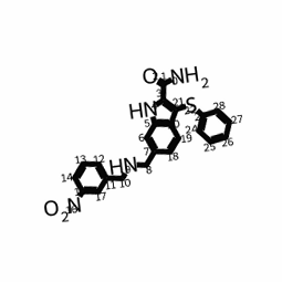 NC(=O)c1[nH]c2cc(CNCc3cccc([N+](=O)[O-])c3)ccc2c1Sc1ccccc1